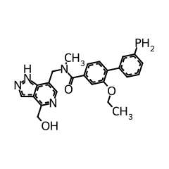 CCOc1cc(C(=O)N(C)Cc2cnc(CO)c3cn[nH]c23)ccc1-c1cccc(P)c1